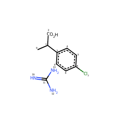 CC(C(=O)O)c1ccc(Cl)cc1.N=C(N)N